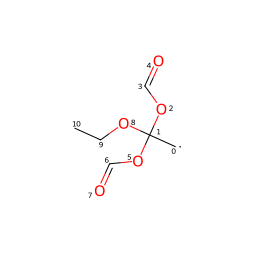 [CH2]C(OC=O)(OC=O)OCC